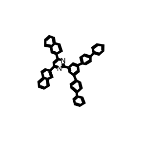 c1ccc(-c2ccc(-c3cc(-c4ccc(-c5ccccc5)cc4)cc(-c4nc(-c5ccc6ccccc6c5)cc(-c5ccc6ccccc6c5)n4)c3)cc2)cc1